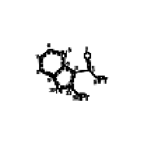 CC(C)C(=O)c1c2ncccc2nn1C(C)C